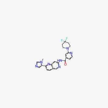 Cn1cncc1-c1ccc2cnc(NC(=O)c3ccnc(N4CCC(F)(F)CC4)c3)cc2n1